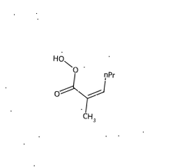 CCCC=C(C)C(=O)OO